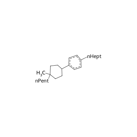 CCCCCCCc1ccc(C2CCC(C)(CCCCC)CC2)cc1